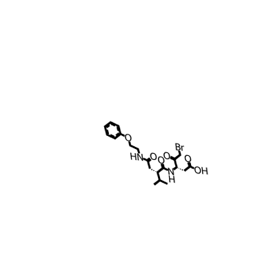 CC(C)[C@H](CC(=O)NCCOc1ccccc1)C(=O)N[C@@H](CC(=O)O)C(=O)CBr